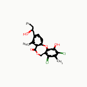 COc1c(C(O)CC(C)C)ccc2c1C(=O)OCc1c(Cl)c(C)c(Cl)c(O)c1O2